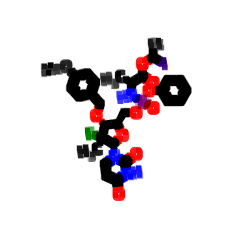 CCC(I)OC(=O)[C@H](C)NP(=O)(OC[C@H]1O[C@@H](n2ccc(=O)[nH]c2=O)[C@](C)(F)[C@@H]1OCc1ccc(OC)cc1)Oc1ccccc1